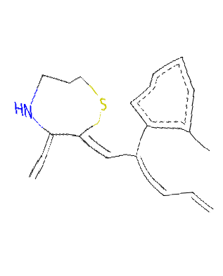 C=C/C=C(/C=C1\SCCNC1=C)c1ccccc1C